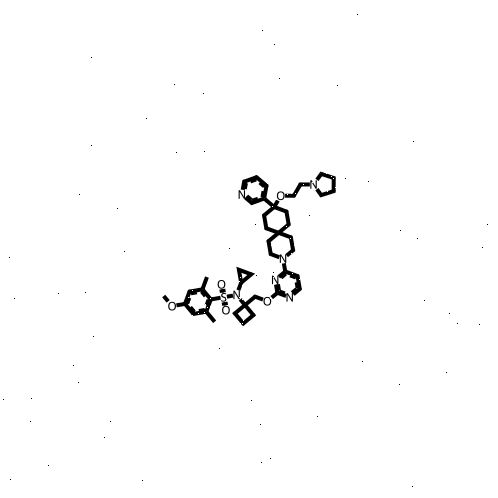 COc1cc(C)c(S(=O)(=O)N(C2CC2)C2(COc3nccc(N4CCC5(CC4)CCC(OCCN4CCCC4)(c4cccnc4)CC5)n3)CCC2)c(C)c1